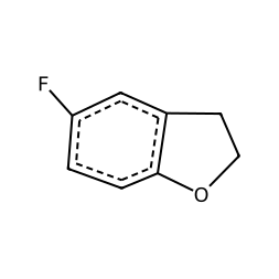 Fc1ccc2c(c1)CCO2